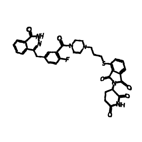 O=C1CCC(N2C(=O)c3cccc(SCCCN4CCN(C(=O)c5cc(Cc6n[nH]c(=O)c7ccccc67)ccc5F)CC4)c3C2=O)C(=O)N1